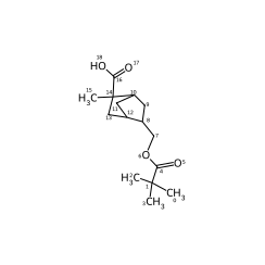 CC(C)(C)C(=O)OCC1CC2CC1CC2(C)C(=O)O